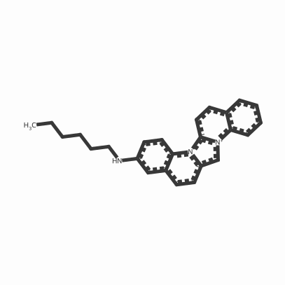 CCCCCCNc1ccc2c(ccc3c[n+]4c5ccccc5ccc4n32)c1